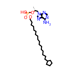 C[C@H](Cn1cnc2c(N)ncnc21)OCP(=O)(O)OCCCCCCCCCCCCCCCCCC1CCCC1